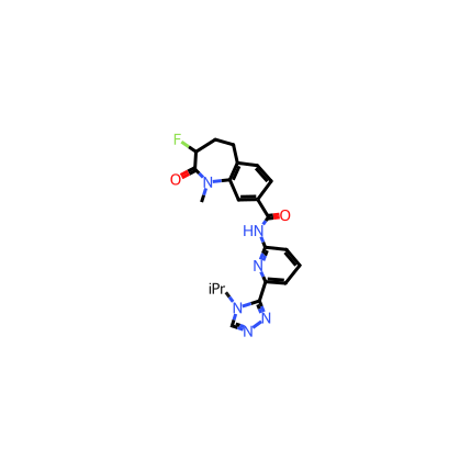 CC(C)n1cnnc1-c1cccc(NC(=O)c2ccc3c(c2)N(C)C(=O)C(F)CC3)n1